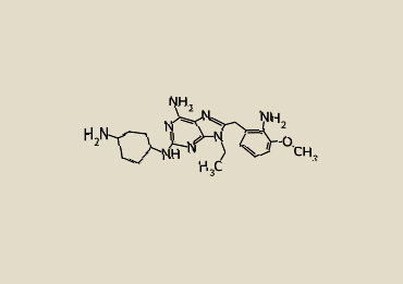 CCn1c(Cc2cccc(OC)c2N)nc2c(N)nc(NC3CCC(N)CC3)nc21